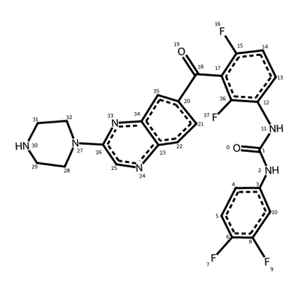 O=C(Nc1ccc(F)c(F)c1)Nc1ccc(F)c(C(=O)c2ccc3ncc(N4CCNCC4)nc3c2)c1F